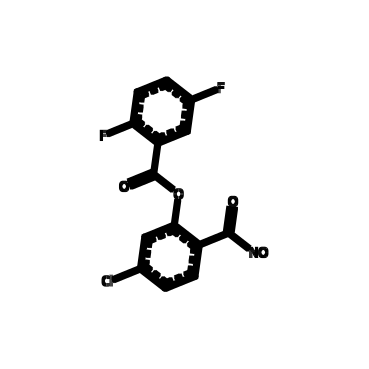 O=NC(=O)c1ccc(Cl)cc1OC(=O)c1cc(F)ccc1F